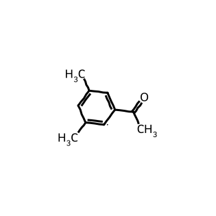 CC(=O)c1[c]c(C)cc(C)c1